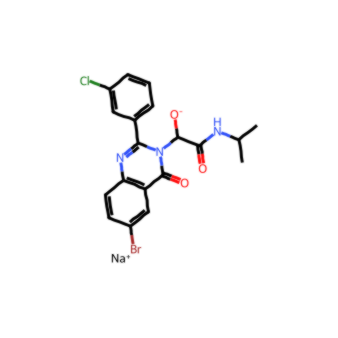 CC(C)NC(=O)C([O-])n1c(-c2cccc(Cl)c2)nc2ccc(Br)cc2c1=O.[Na+]